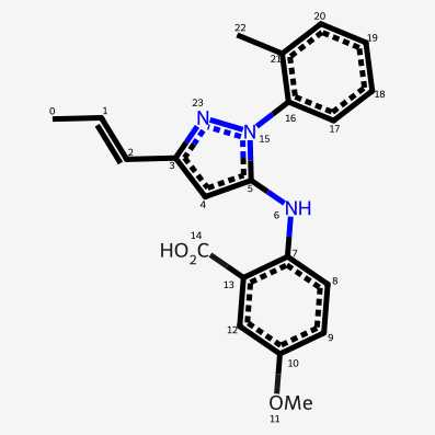 CC=Cc1cc(Nc2ccc(OC)cc2C(=O)O)n(-c2ccccc2C)n1